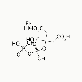 O=C(O)CC(CC(=O)O)(OP(=O)(O)OP(=O)(O)O)C(=O)O.[Fe].[KH]